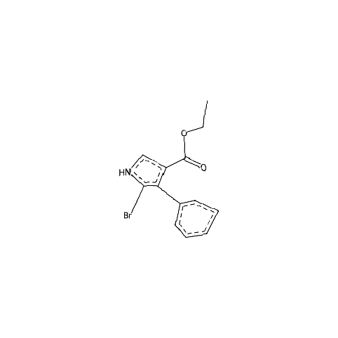 CCOC(=O)c1c[nH]c(Br)c1-c1ccccc1